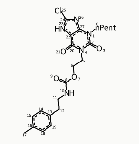 CCCCCn1c(=O)n(CCOC(=O)NCCc2ccc(C)cc2)c(=O)c2[nH]c(Cl)nc21